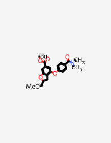 COCC1Cc2c(Oc3ccc(C(=O)N(C)C)cc3)cc(C(=O)OC(C)(C)C)cc2O1